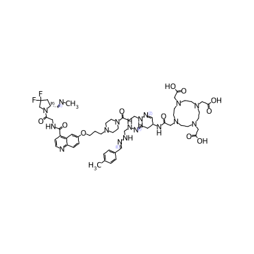 C/N=C/[C@H]1CC(F)(F)CN1C(=O)CNC(=O)c1ccnc2ccc(OCCCN3CCN(C(=O)CCN/N=C\C(C/C=N/NCN/N=C/c4ccc(C)cc4)NC(=O)CN4CCN(CC(=O)O)CCN(CC(=O)O)CCN(CC(=O)O)CC4)CC3)cc12